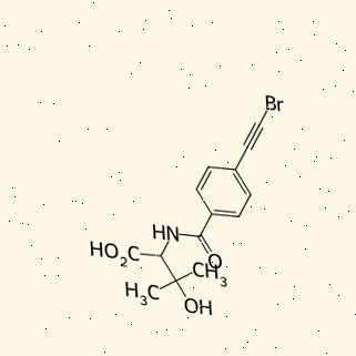 CC(C)(O)C(NC(=O)c1ccc(C#CBr)cc1)C(=O)O